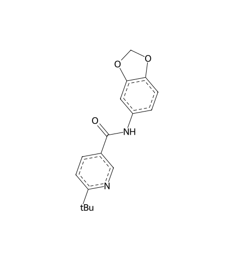 CC(C)(C)c1ccc(C(=O)Nc2ccc3c(c2)OCO3)cn1